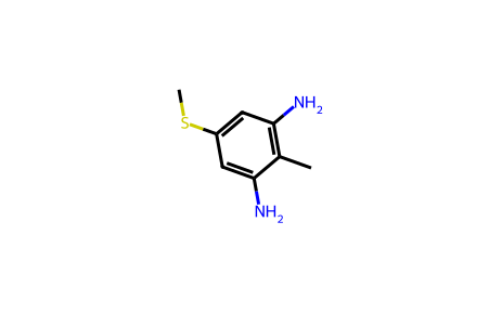 CSc1cc(N)c(C)c(N)c1